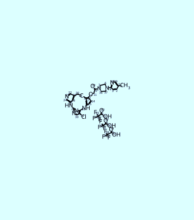 Cc1ccc(N2CCN(C(=O)COc3ccc4cc3CCc3cncc(c3)Nc3ncc(Cl)c(n3)N4)CC2)nc1.O=C(O)C(F)(F)F.O=C(O)C(F)(F)F.O=C(O)C(F)(F)F